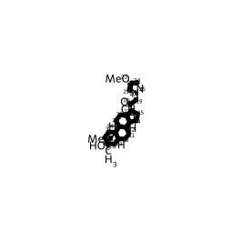 COC[C@]12CC[C@@](C)(O)C[C@@H]1CC[C@H]1[C@@H]3CC[C@H](C(=O)Cn4cc(OC)cn4)[C@@]3(C)CC[C@@H]12